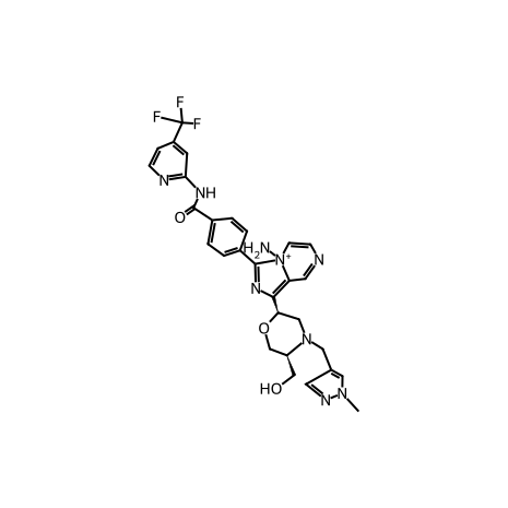 Cn1cc(CN2C[C@H](C3=C4C=NC=C[N+]4(N)C(c4ccc(C(=O)Nc5cc(C(F)(F)F)ccn5)cc4)=N3)OC[C@@H]2CO)cn1